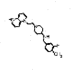 Cc1ccc(CNC2CCN(CCN3C=CC=C4NC=CC=C43)CC2)cc1F